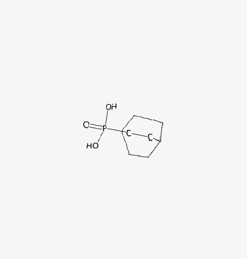 O=P(O)(O)C12CCC(CC1)CC2